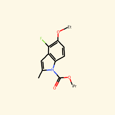 CCOc1ccc2c(cc(C)n2C(=O)OC(C)C)c1F